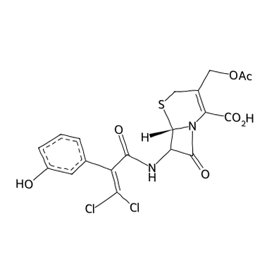 CC(=O)OCC1=C(C(=O)O)N2C(=O)C(NC(=O)C(=C(Cl)Cl)c3cccc(O)c3)[C@@H]2SC1